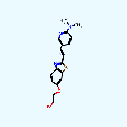 CN(C)c1ccc(/C=C/c2nc3ccc(OCCO)cc3s2)cn1